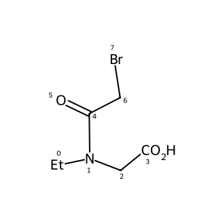 CCN(CC(=O)O)C(=O)CBr